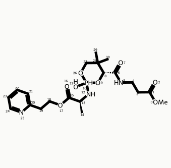 COC(=O)CCNC(=O)[C@@H]1O[PH](O)(N[C@@H](C)C(=O)OCCc2ccccn2)OCC1(C)C